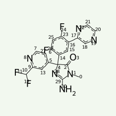 CN1C(=O)C(c2ccnc(C(F)F)c2)(c2cc(-c3cnccn3)c(F)cc2F)N=C1N